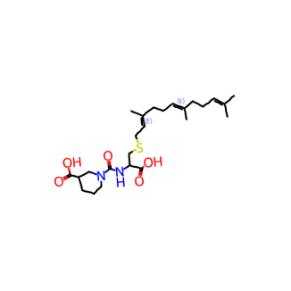 CC(C)=CCC/C(C)=C/CC/C(C)=C/CSCC(NC(=O)N1CCCC(C(=O)O)C1)C(=O)O